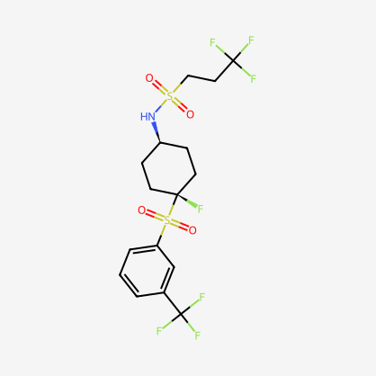 O=S(=O)(CCC(F)(F)F)N[C@H]1CC[C@](F)(S(=O)(=O)c2cccc(C(F)(F)F)c2)CC1